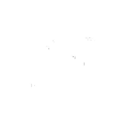 CNCCN(C)Cc1c[nH]nc1C1CCC(C)CC1